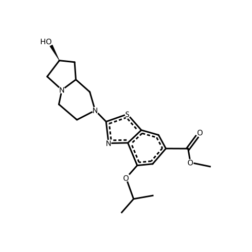 COC(=O)c1cc(OC(C)C)c2nc(N3CCN4C[C@@H](O)CC4C3)sc2c1